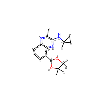 Cc1nc2cccc(B3OC(C)(C)C(C)(C)O3)c2nc1NC1(C)CC1